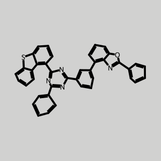 c1ccc(-c2nc(-c3cccc(-c4cccc5oc(-c6ccccc6)nc45)c3)nc(-c3cccc4sc5ccccc5c34)n2)cc1